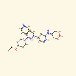 CCOC1CCN(c2nc(-c3ccnc(NC4CCOCC4)c3)cc3cnccc23)CC1